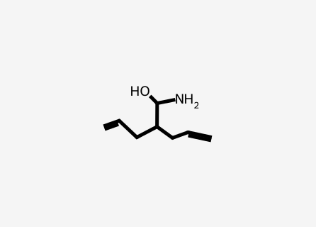 C=CCC(CC=C)C(N)O